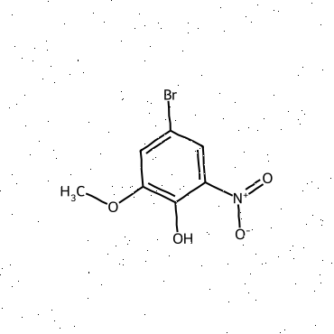 COc1cc(Br)cc([N+](=O)[O-])c1O